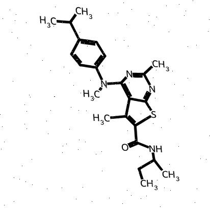 CCC(C)NC(=O)c1sc2nc(C)nc(N(C)c3ccc(C(C)C)cc3)c2c1C